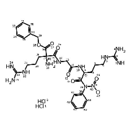 Cl.Cl.N=C(N)NCCC[C@H](NC(=O)CNC(=O)[C@](N)(CCCNC(=N)N)C(=O)OCc1ccccc1)C(=O)N(c1ccccc1)[N+](=O)[O-]